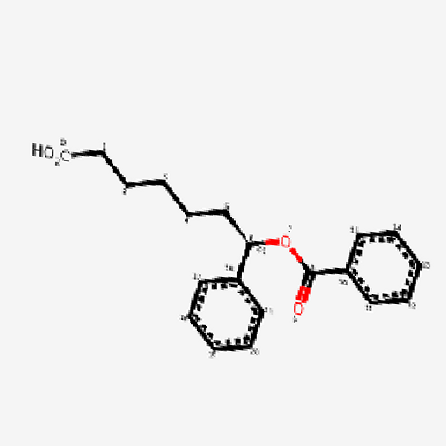 O=C(O)CCCCC[C@@H](OC(=O)c1ccccc1)c1ccccc1